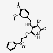 COc1ccc(CNc2c(OCC[S+]([O-])c3ccccc3)n[nH]c(=O)c2Br)cc1OC